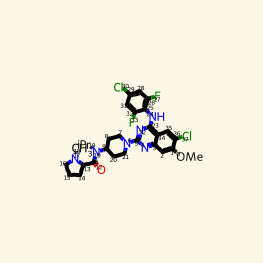 COc1cc2nc(N3CCC(N(C(=O)C4CCCN4C)C(C)C)CC3)nc(Nc3c(F)cc(Cl)cc3F)c2cc1Cl